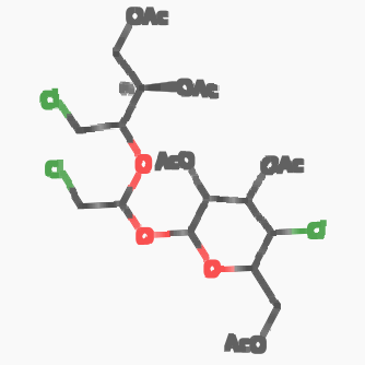 CC(=O)OCC1OC(OC(CCl)OC(CCl)[C@@H](COC(C)=O)OC(C)=O)C(OC(C)=O)C(OC(C)=O)C1Cl